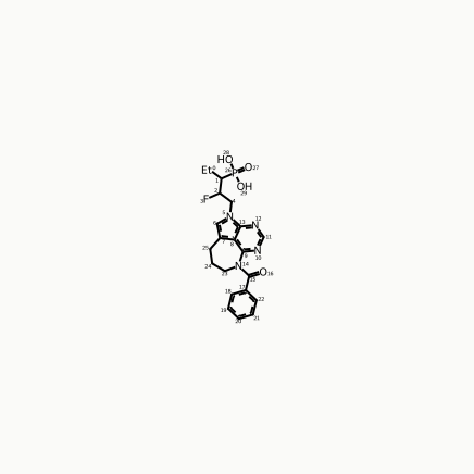 CCC(C(F)Cn1cc2c3c(ncnc31)N(C(=O)c1ccccc1)CCC2)P(=O)(O)O